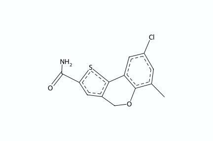 Cc1cc(Cl)cc2c1OCc1cc(C(N)=O)sc1-2